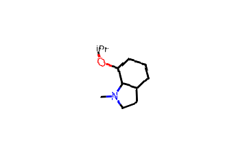 CC(C)OC1CCCC2CCN(C)C21